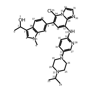 CC(O)c1cn(C)c2cc(-c3cc(Nc4ccc(N5CCN(C(C)C)CC5)cn4)c4nccn4c3Cl)ccc12